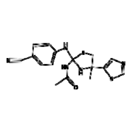 CC(=O)NC1(Nc2ccc(C#N)cc2)NC(C)(c2cncs2)CS1